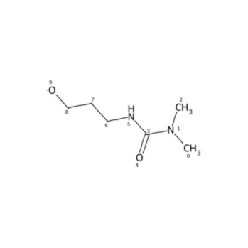 CN(C)C(=O)NCCC[O]